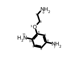 NCCOc1cc(N)ccc1N